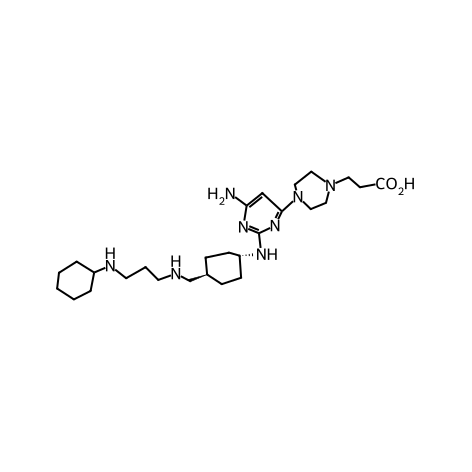 Nc1cc(N2CCN(CCC(=O)O)CC2)nc(N[C@H]2CC[C@H](CNCCCNC3CCCCC3)CC2)n1